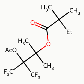 CCC(C)(C)C(=O)OC(C)(C)C(OC(C)=O)(C(F)(F)F)C(F)(F)F